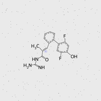 C/C(=C\c1ccccc1-c1cc(F)c(O)cc1F)C(=O)NC(=N)N